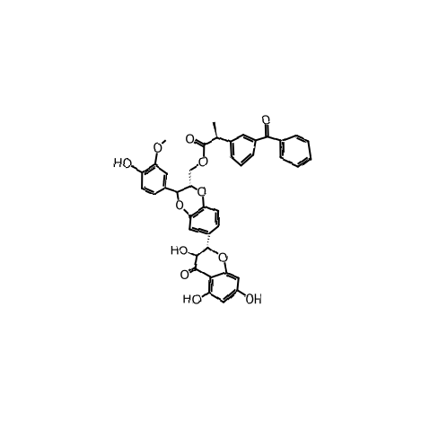 COc1cc(C2Oc3cc([C@@H]4Oc5cc(O)cc(O)c5C(=O)C4O)ccc3O[C@H]2COC(=O)[C@@H](C)c2cccc(C(=O)c3ccccc3)c2)ccc1O